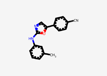 Cc1cccc(Nc2ncc(-c3ccc(C#N)cc3)o2)c1